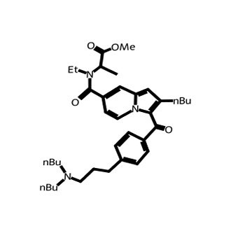 CCCCc1cc2cc(C(=O)N(CC)C(C)C(=O)OC)ccn2c1C(=O)c1ccc(CCCN(CCCC)CCCC)cc1